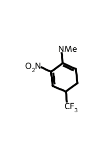 CNC1=CCC(C(F)(F)F)C=C1[N+](=O)[O-]